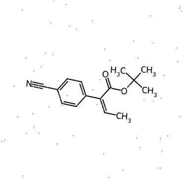 CC=C(C(=O)OC(C)(C)C)c1ccc(C#N)cc1